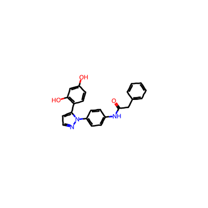 O=C(Cc1ccccc1)Nc1ccc(-n2nccc2-c2ccc(O)cc2O)cc1